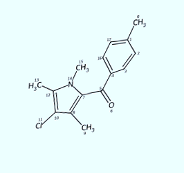 Cc1ccc(C(=O)c2c(C)c(Cl)c(C)n2C)cc1